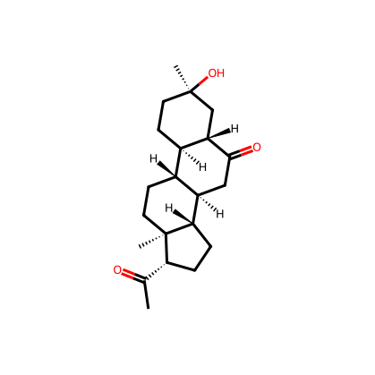 CC(=O)[C@H]1CC[C@H]2[C@@H]3CC(=O)[C@H]4C[C@](C)(O)CC[C@@H]4[C@H]3CC[C@]12C